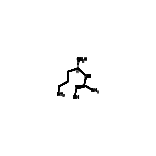 NCCC[C@@H](NC(N)=NO)C(=O)O